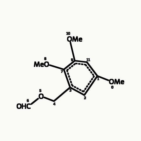 COc1cc(COC=O)c(OC)c(OC)c1